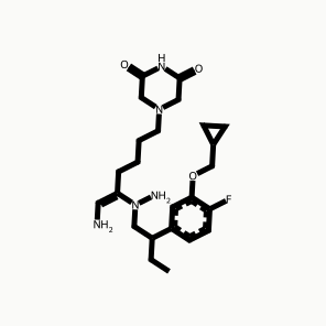 CCC(CN(N)/C(=C\N)CCCCN1CC(=O)NC(=O)C1)c1ccc(F)c(OCC2CC2)c1